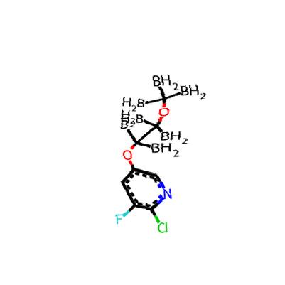 BC(B)(B)OC(B)(B)C(B)(B)Oc1cnc(Cl)c(F)c1